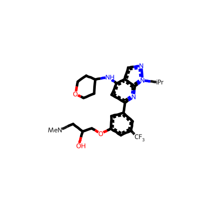 CNCC(O)COc1cc(-c2cc(NC3CCOCC3)c3cnn(C(C)C)c3n2)cc(C(F)(F)F)c1